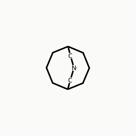 C1CC2CCCC(C1)C[N]C2